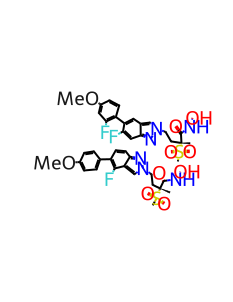 COc1ccc(-c2cc3cn(CC[C@](C)(C(=O)NO)S(C)(=O)=O)nc3cc2F)c(F)c1.COc1ccc(-c2ccc3nn(CC[C@](C)(C(=O)NO)S(C)(=O)=O)cc3c2F)cc1